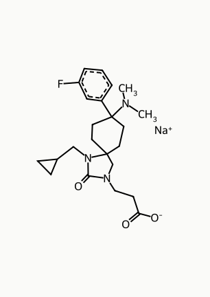 CN(C)C1(c2cccc(F)c2)CCC2(CC1)CN(CCC(=O)[O-])C(=O)N2CC1CC1.[Na+]